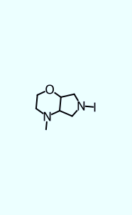 CN1CCOC2CN(I)CC21